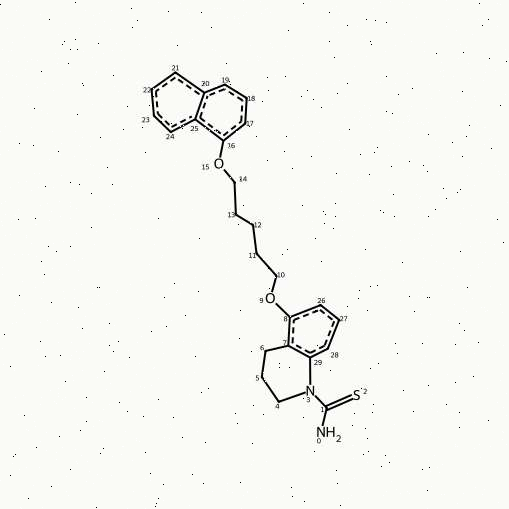 NC(=S)N1CCCc2c(OCCCCCOc3cccc4ccccc34)cccc21